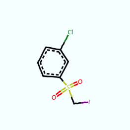 O=S(=O)(CI)c1cccc(Cl)c1